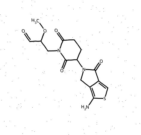 COC(C=O)CN1C(=O)CCC(N2Cc3c(csc3N)C2=O)C1=O